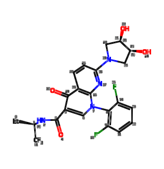 CC[C@@H](NC(=O)c1cn(-c2c(F)cccc2F)c2nc(N3C[C@@H](O)[C@@H](O)C3)ccc2c1=O)C(F)(F)F